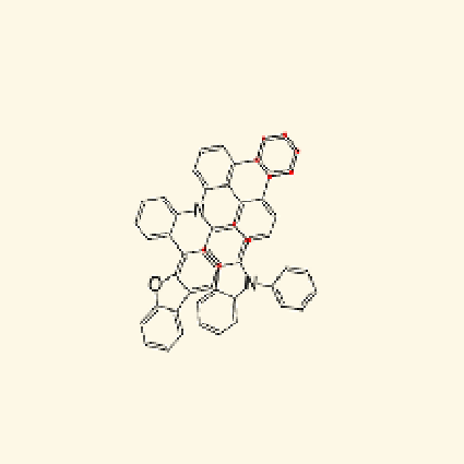 c1ccc(-c2ccccc2-c2c(-c3ccccc3)cccc2N(c2ccc3c(c2)c2ccccc2n3-c2ccccc2)c2ccccc2-c2cccc3c2oc2ccccc23)cc1